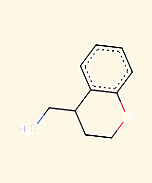 NCC1CCOc2ccccc21